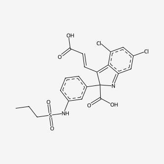 CCCS(=O)(=O)Nc1cccc(C2(C(=O)O)N=c3cc(Cl)cc(Cl)c3=C2C=CC(=O)O)c1